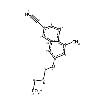 C#Cc1cnc2c(C)cc(OCSCC(=O)O)cc2c1